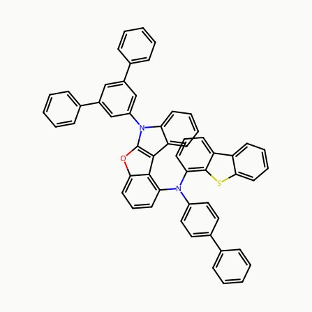 c1ccc(-c2ccc(N(c3cccc4c3sc3ccccc34)c3cccc4oc5c(c6ccccc6n5-c5cc(-c6ccccc6)cc(-c6ccccc6)c5)c34)cc2)cc1